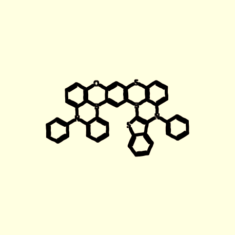 c1ccc(N2c3ccccc3B3c4cc5c(cc4Oc4cccc2c43)Sc2cccc3c2B5c2sc4ccccc4c2N3c2ccccc2)cc1